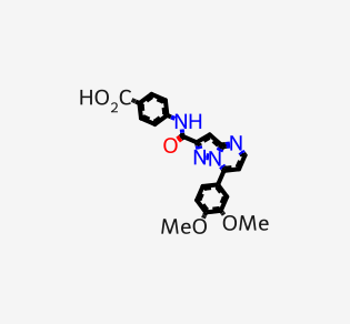 COc1ccc(-c2ccnc3cc(C(=O)Nc4ccc(C(=O)O)cc4)nn23)cc1OC